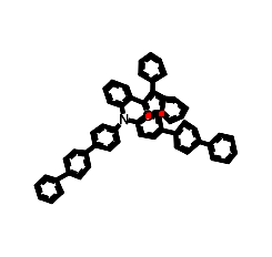 c1ccc(-c2ccc(-c3ccc(N(c4ccc(-c5ccc(-c6ccccc6)cc5)cc4)c4ccccc4-c4oc5ccccc5c4-c4ccccc4)cc3)cc2)cc1